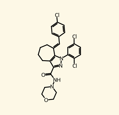 O=C(NN1CCOCC1)c1nn(-c2cc(Cl)ccc2Cl)c2c1CCCCC2=Cc1ccc(Cl)cc1